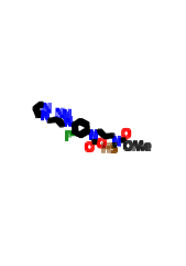 COC(=O)N(S)CC1CN(c2ccc(-n3cc(Cn4cccn4)nn3)c(F)c2)C(=O)O1